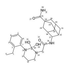 CCc1ccccc1N1CCCN(CC(=O)NC2C3CC4CC2CC(C(N)=O)(C4)C3)S1(O)O